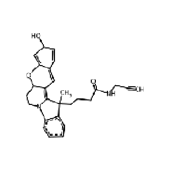 C#CCNC(=O)CCCC1(C)C2=C3C=C4C=CC(O)C=C4OC3CCN2c2ccccc21